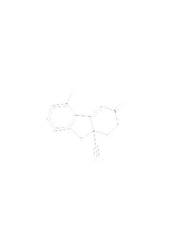 C#CC12CCC(=O)C=C1c1c(Cl)cccc1C2